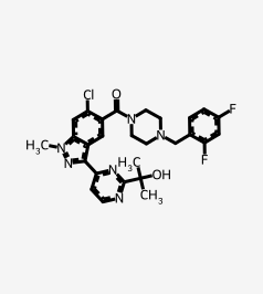 Cn1nc(-c2ccnc(C(C)(C)O)n2)c2cc(C(=O)N3CCN(Cc4ccc(F)cc4F)CC3)c(Cl)cc21